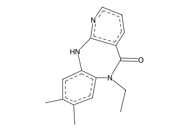 CCN1C(=O)c2cccnc2Nc2cc(C)c(C)cc21